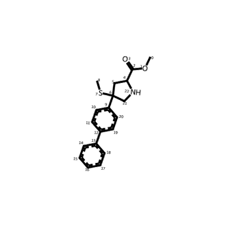 COC(=O)C1CC(SC)(c2ccc(-c3ccccc3)cc2)CN1